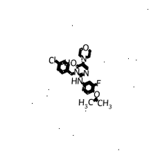 CC(C)Oc1ccc(NC2=NC=C(N3CCOCC3)C(O)N2Cc2ccc(Cl)cc2)cc1F